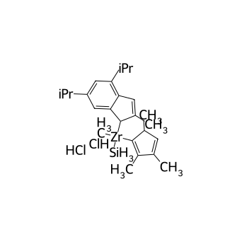 CC1=CC(C)[C]([Zr]([CH3])([SiH3])[CH]2C(C)=Cc3c(C(C)C)cc(C(C)C)cc32)=C1C.Cl.Cl